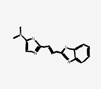 CN(C)c1cnc(C=Cc2nc3ccccc3s2)o1